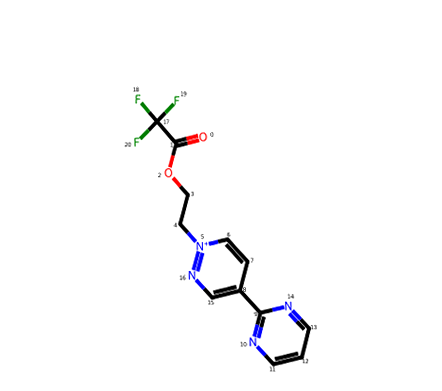 O=C(OCC[n+]1ccc(-c2ncccn2)cn1)C(F)(F)F